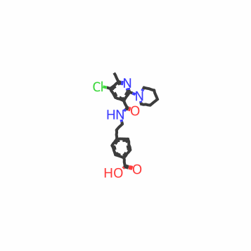 Cc1nc(N2CCCCC2)c(C(=O)NCCc2ccc(C(=O)O)cc2)cc1Cl